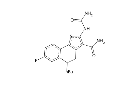 CCCCC1Cc2c(sc(NC(N)=O)c2C(N)=O)-c2ccc(F)cc21